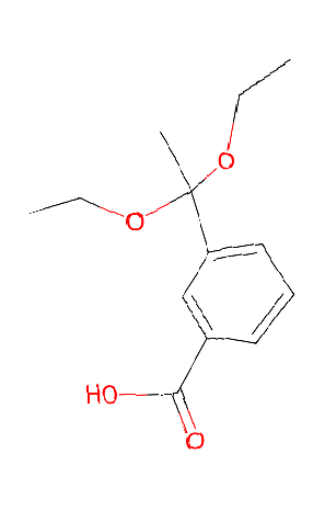 CCOC(C)(OCC)c1cccc(C(=O)O)c1